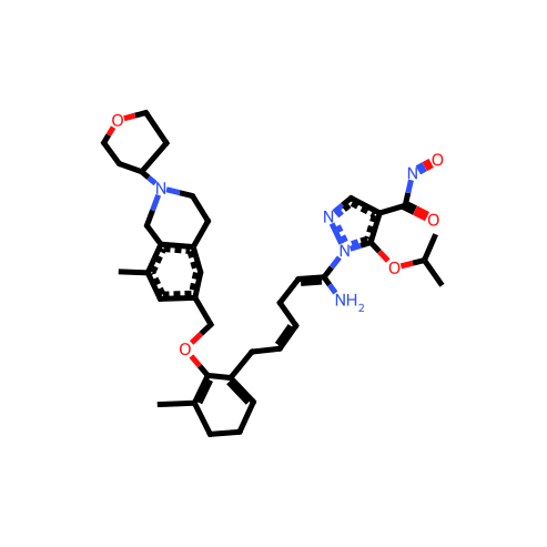 CC1=C(OCc2cc(C)c3c(c2)CCN(C2CCOCC2)C3)C(C/C=C\C/C=C(\N)n2ncc(C(=O)N=O)c2OC(C)C)=CCC1